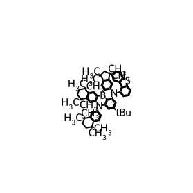 CC(C)(C)c1cc2c3c(c1)N(c1cccc4sc5ccccc5c14)c1cc4c(cc1B3c1cc3c(cc1N2c1ccc2c(c1)C(C)(C)CCC2(C)C)C(C)(C)CCC3(C)C)C(C)(C)CC4(C)C